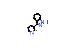 [c]1ncccc1-c1n[nH]c2ccccc12